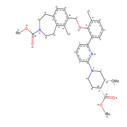 CO[C@H]1CN(c2cccc(-c3cccc(C)c3OCc3ccc4c(c3C)CCN(C(=O)OC(C)(C)C)CC4)n2)CC[C@H]1C(=O)OC(C)(C)C